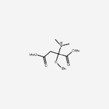 COC(=O)CC(OC(C)(C)C)(C(=O)OC)[SiH](C)C